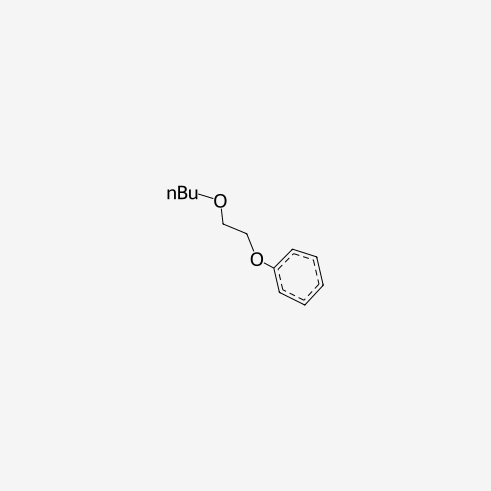 [CH2]CCCOCCOc1ccccc1